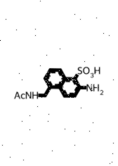 CC(=O)NCc1cccc2c(S(=O)(=O)O)c(N)ccc12